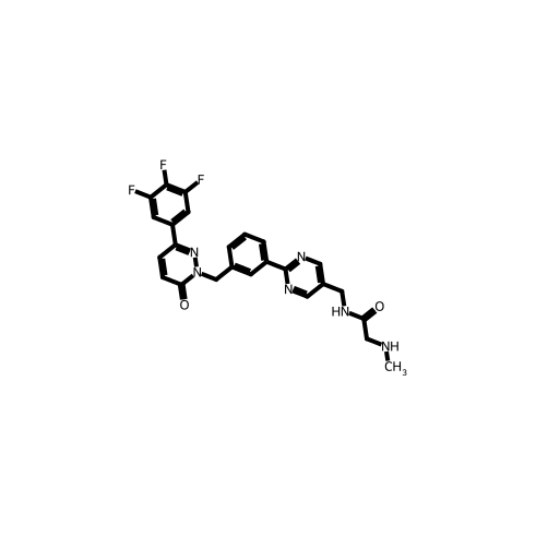 CNCC(=O)NCc1cnc(-c2cccc(Cn3nc(-c4cc(F)c(F)c(F)c4)ccc3=O)c2)nc1